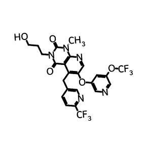 Cn1c(=O)n(CCCO)c(=O)c2c(Cc3ccc(C(F)(F)F)nc3)c(Oc3cncc(OC(F)(F)F)c3)cnc21